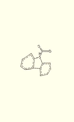 [O]=[Ti](=[O])[SH]1c2ccccc2-c2ccccc21